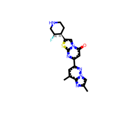 Cc1cn2nc(-c3cc(=O)n4cc([C@@H]5CCNC[C@@H]5F)sc4n3)cc(C)c2n1